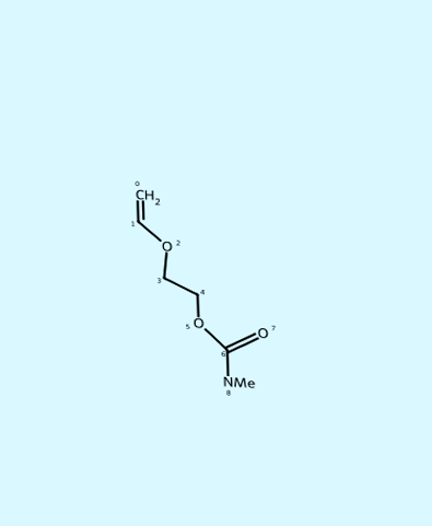 C=COCCOC(=O)NC